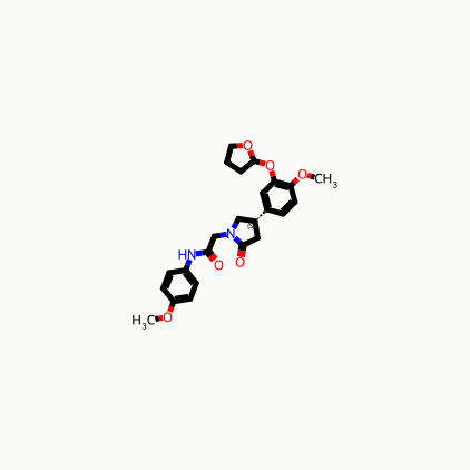 COc1ccc(NC(=O)CN2C[C@H](c3ccc(OC)c(OC4CCCO4)c3)CC2=O)cc1